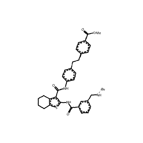 CC[C@@H](C)NCc1cccc(C(=O)Nc2sc3c(c2C(=O)Nc2ccc(CCc4ccc(C(=O)OC)cc4)cc2)CCCC3)c1